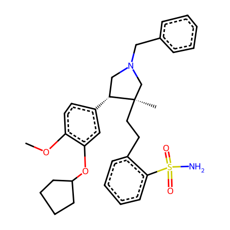 COc1ccc([C@@H]2CN(Cc3ccccc3)C[C@@]2(C)CCc2ccccc2S(N)(=O)=O)cc1OC1CCCC1